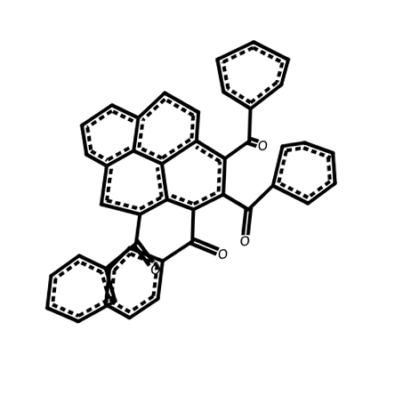 O=C(c1ccccc1)c1c(C(=O)c2ccccc2)c2ccc3cccc4cc(C(=O)c5ccccc5)c(c1C(=O)c1ccccc1)c2c34